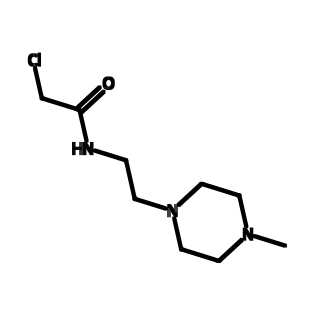 CN1CCN(CCNC(=O)CCl)CC1